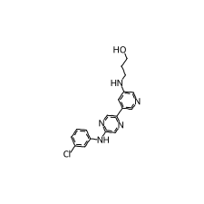 OCCCNc1cncc(-c2cnc(Nc3cccc(Cl)c3)cn2)c1